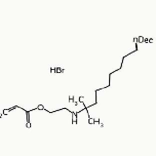 Br.C=CC(=O)OCCNC(C)(C)CCCCCCCCCCCCCCCCC